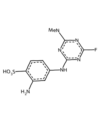 CNc1nc(F)nc(Nc2ccc(S(=O)(=O)O)c(N)c2)n1